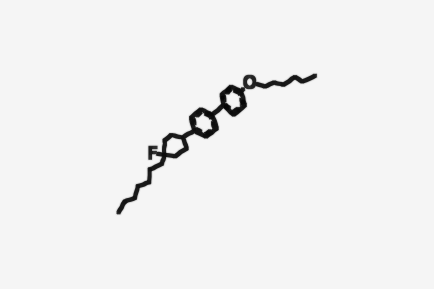 CCCCCCCC1(F)CCC(c2ccc(-c3ccc(OCCCCCC)cc3)cc2)CC1